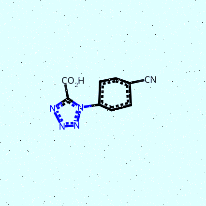 N#Cc1ccc(-n2nnnc2C(=O)O)cc1